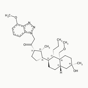 CCC[C@H]1[C@H]([C@@H]2CC[C@H](C(=O)Cn3nnc4c(OC)cccc43)[C@@H]2C)CC[C@H]2C[C@](C)(O)CC[C@@]21COC